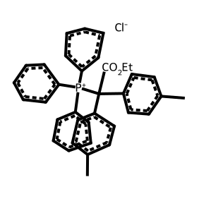 CCOC(=O)C(c1ccc(C)cc1)(c1ccc(C)cc1)[P+](c1ccccc1)(c1ccccc1)c1ccccc1.[Cl-]